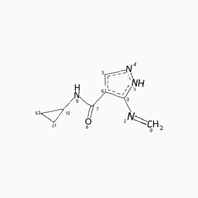 C=Nc1[nH]ncc1C(=O)NC1CC1